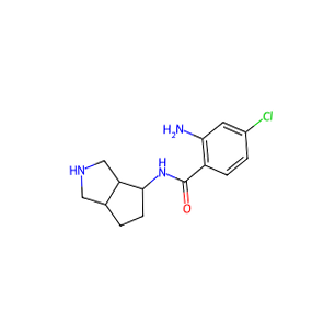 Nc1cc(Cl)ccc1C(=O)NC1CCC2CNCC21